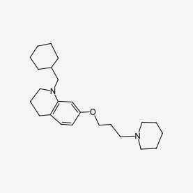 c1cc2c(cc1OCCCN1CCCCC1)N(CC1CCCCC1)CCC2